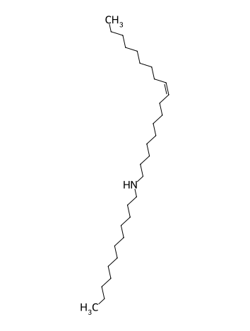 CCCCCCCC/C=C\CCCCCCCCNCCCCCCCCCCCC